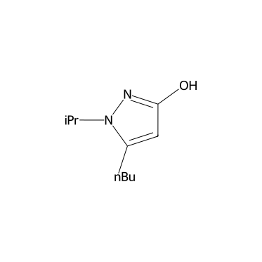 CCCCc1cc(O)nn1C(C)C